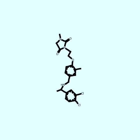 Cc1cc(CNC(C)c2ccc(Cl)c(Cl)c2)ccc1OCCN1C(=O)CN(C)C1=O